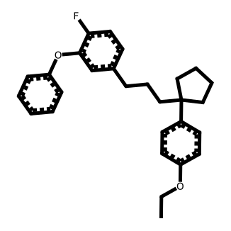 CCOc1ccc(C2(CCCc3ccc(F)c(Oc4ccccc4)c3)CCCC2)cc1